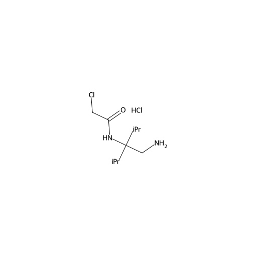 CC(C)C(CN)(NC(=O)CCl)C(C)C.Cl